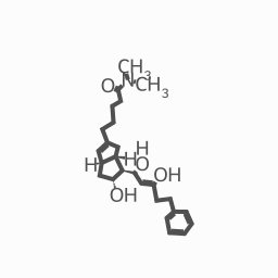 CN(C)C(=O)CCCCC1=C[C@@H]2C[C@@H](O)[C@H](C(O)C=C(O)CCc3ccccc3)[C@H]2C1